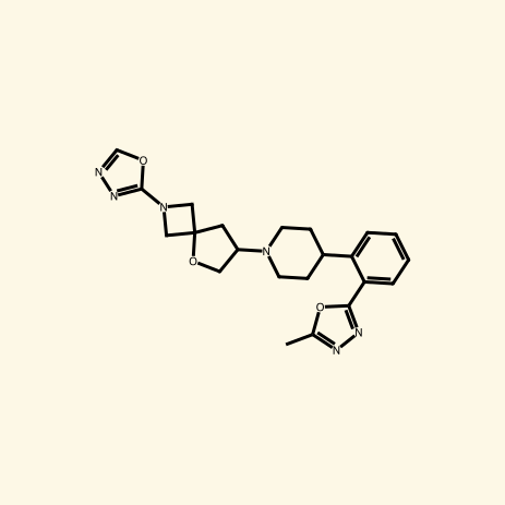 Cc1nnc(-c2ccccc2C2CCN(C3COC4(C3)CN(c3nnco3)C4)CC2)o1